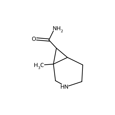 CC12CNCCC1C2C(N)=O